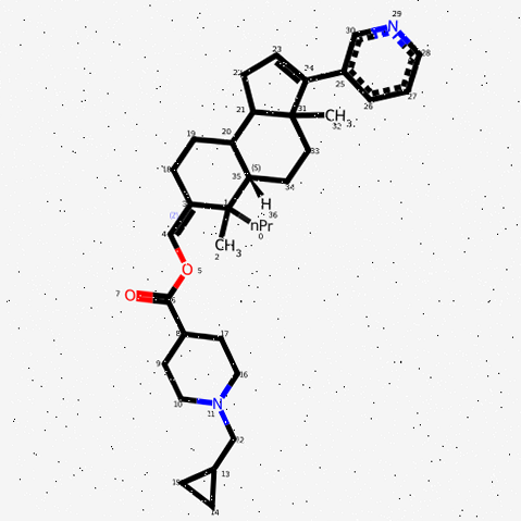 CCCC1(C)/C(=C\OC(=O)C2CCN(CC3CC3)CC2)CCC2C3CC=C(c4cccnc4)C3(C)CC[C@@H]21